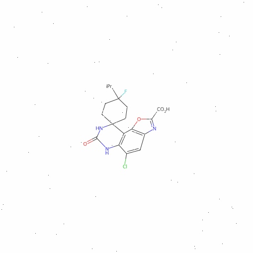 CC(C)C1(F)CCC2(CC1)NC(=O)Nc1c(Cl)cc3nc(C(=O)O)oc3c12